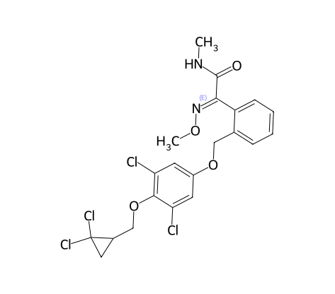 CNC(=O)/C(=N/OC)c1ccccc1COc1cc(Cl)c(OCC2CC2(Cl)Cl)c(Cl)c1